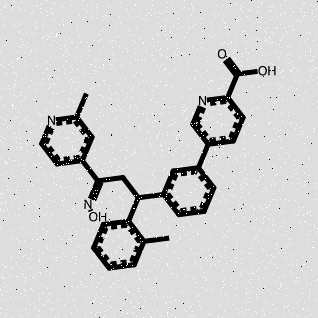 Cc1cc(/C(CC(c2cccc(-c3ccc(C(=O)O)nc3)c2)c2ccccc2C)=N/O)ccn1